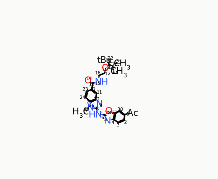 CC(=O)c1ccc2nc(Nc3nc4cc(C(=O)NCCO[Si](C)(C)C(C)(C)C)ccc4n3C)oc2c1